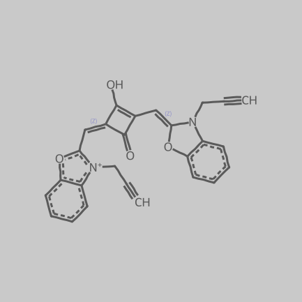 C#CCN1/C(=C/C2=C(O)C(=C/c3oc4ccccc4[n+]3CC#C)/C2=O)Oc2ccccc21